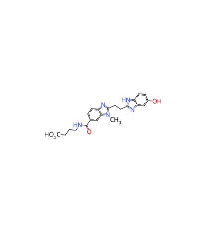 Cn1c(CCc2nc3cc(O)ccc3[nH]2)nc2ccc(C(=O)NCCCC(=O)O)cc21